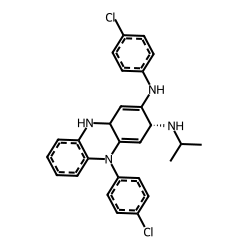 CC(C)N[C@@H]1C=C2C(C=C1Nc1ccc(Cl)cc1)Nc1ccccc1N2c1ccc(Cl)cc1